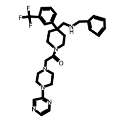 O=C(CN1CCN(c2cnccn2)CC1)N1CCC(CNCc2ccccc2)(c2cccc(C(F)(F)F)c2)CC1